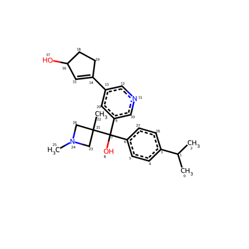 CC(C)c1ccc(C(O)(c2cncc(C3=CC(O)CC3)c2)C2(C)CN(C)C2)cc1